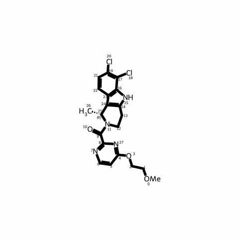 COCCOc1ccnc(C(=O)N2CCc3[nH]c4c(Cl)c(Cl)ccc4c3[C@H]2C)n1